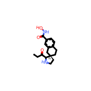 CCC(=O)C1NCC[C@@]12CCc1ccc(C(=O)NO)cc1C2